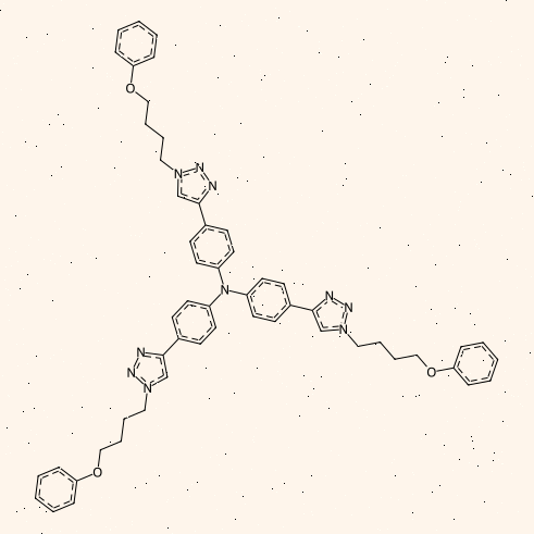 c1ccc(OCCCCn2cc(-c3ccc(N(c4ccc(-c5cn(CCCCOc6ccccc6)nn5)cc4)c4ccc(-c5cn(CCCCOc6ccccc6)nn5)cc4)cc3)nn2)cc1